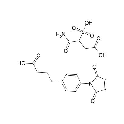 NC(=O)C(CC(=O)O)S(=O)(=O)O.O=C(O)CCCc1ccc(N2C(=O)C=CC2=O)cc1